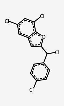 Clc1ccc(C(Cl)c2cc3cc(Cl)cc(Cl)c3o2)cc1